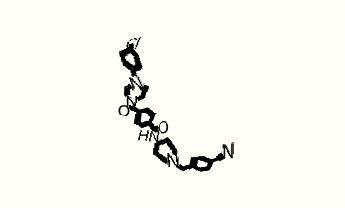 N#Cc1ccc(CN2CCC(NC(=O)c3ccc(C(=O)N4CCN(c5ccc(Cl)cc5)CC4)cc3)CC2)cc1